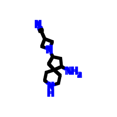 N#CC1CN(C2CC(N)C3(CCNCC3)C2)C1